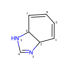 C1=CC2N=CNC2C=C1